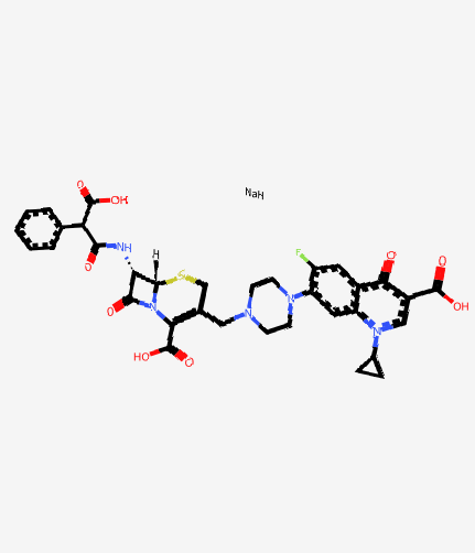 O=C(O)C1=C(CN2CCN(c3cc4c(cc3F)c(=O)c(C(=O)O)cn4C3CC3)CC2)CS[C@H]2[C@@H](NC(=O)C(C(=O)O)c3ccccc3)C(=O)N12.[NaH]